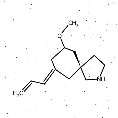 C=C/C=C1\CC(OC)C[C@]2(CCNC2)C1